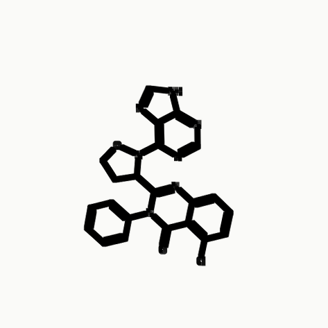 O=c1c2c(Cl)cccc2nc(C2CCON2c2ncnc3[nH]cnc23)n1-c1ccccc1